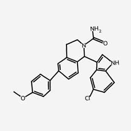 COc1ccc(-c2ccc3c(c2)CCN(C(N)=O)C3c2c[nH]c3ccc(Cl)cc23)cc1